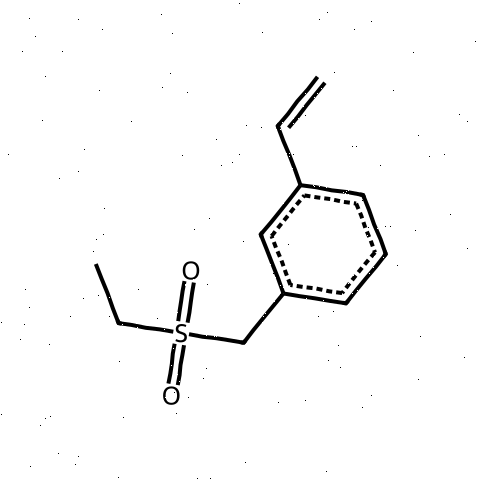 C=Cc1cccc(CS(=O)(=O)CC)c1